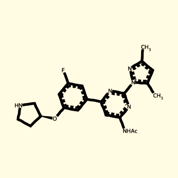 CC(=O)Nc1cc(-c2cc(F)cc(O[C@H]3CCNC3)c2)nc(-n2nc(C)cc2C)n1